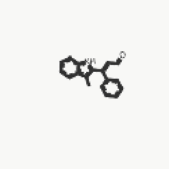 Cc1c(C(=CC=O)c2ccccc2)[nH]c2ccccc12